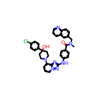 CN(Cc1ccc2ncccc2c1)C(=O)c1ccc(Nc2nc3c(N4CCC(O)(c5ccc(Cl)cc5)CC4)cccn3n2)cc1